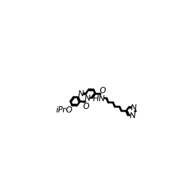 CC(C)Oc1ccc2nc3ccc(C(=O)NCCCCCCc4cncnc4)cn3c(=O)c2c1